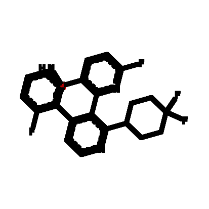 NC(=O)c1ccc(F)nc1-c1c(-c2ncccc2F)ccnc1C1CCC(F)(F)CC1